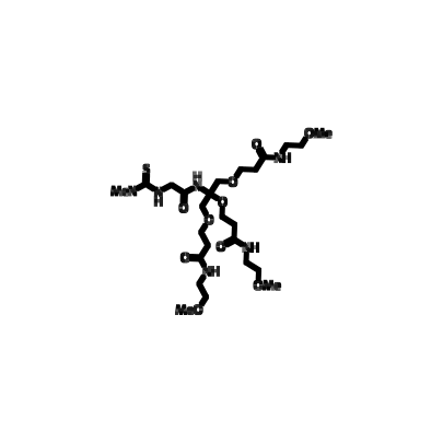 CNC(=S)NCC(=O)NC(COCCC(=O)NCCOC)(COCCC(=O)NCCOC)OCCC(=O)NCCOC